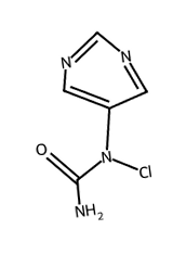 NC(=O)N(Cl)c1cncnc1